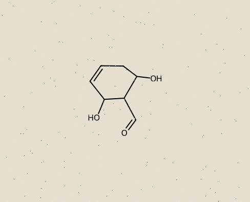 O=CC1C(O)C=CCC1O